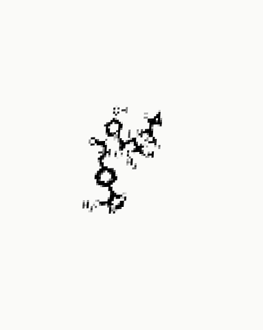 Cc1ncsc1-c1ccc(CNC(=O)[C@@H]2C[C@H](O)CN2C(=O)[C@@H](NC(=O)C2(F)CC2)C(C)(C)S)cc1